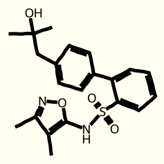 Cc1noc(NS(=O)(=O)c2ccccc2-c2ccc(CC(C)(C)O)cc2)c1C